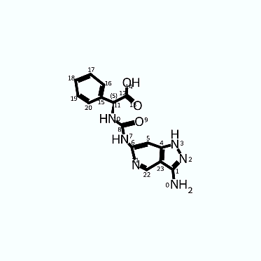 Nc1n[nH]c2cc(NC(=O)N[C@H](C(=O)O)c3ccccc3)ncc12